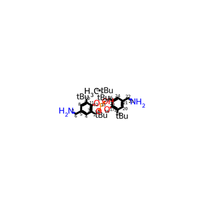 CC(C)(C)C.CC(C)(C)c1cc(CN)cc(C(C)(C)C)c1OP(=O)(O)Oc1c(C(C)(C)C)cc(CN)cc1C(C)(C)C